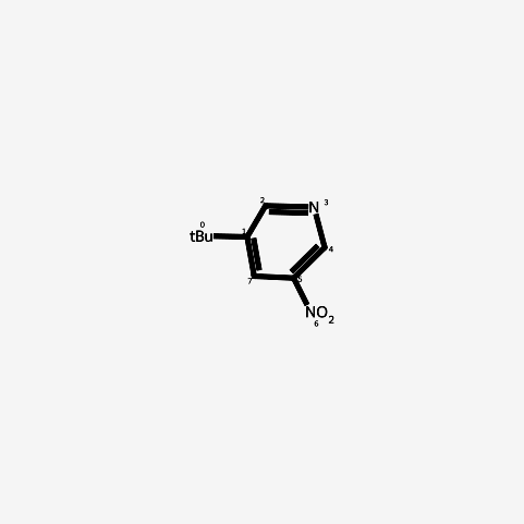 CC(C)(C)c1cncc([N+](=O)[O-])c1